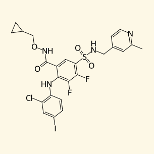 Cc1cc(CNS(=O)(=O)c2cc(C(=O)NOCC3CC3)c(Nc3ccc(I)cc3Cl)c(F)c2F)ccn1